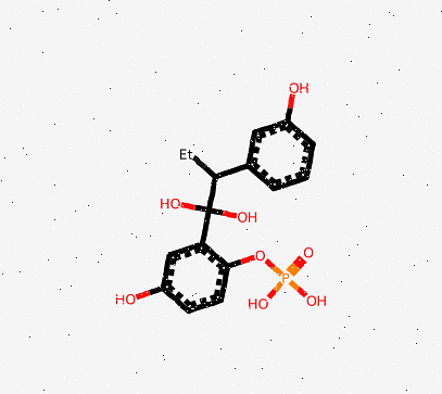 CCC(c1cccc(O)c1)C(O)(O)c1cc(O)ccc1OP(=O)(O)O